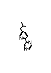 CC(C)Cc1ccc(-c2cnccn2)nc1